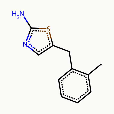 Cc1ccccc1Cc1cnc(N)s1